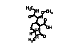 CNC(=O)C(=NOC)C1=C(C(=O)O)N2C(=O)[C@@H](N)[C@@H]2SC1